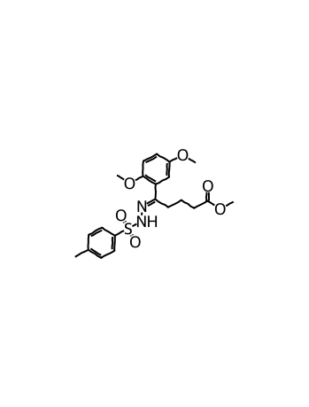 COC(=O)CCC/C(=N\NS(=O)(=O)c1ccc(C)cc1)c1cc(OC)ccc1OC